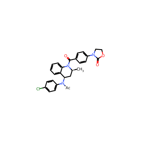 CC(=O)N(c1ccc(Cl)cc1)[C@@H]1C[C@H](C)N(C(=O)c2ccc(N3CCOC3=O)cc2)c2ccccc21